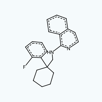 Fc1ccccc1C1(CNc2nccc3ccccc23)CCCCC1